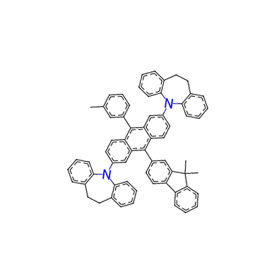 Cc1cccc(-c2c3ccc(N4c5ccccc5CCc5ccccc54)cc3c(-c3ccc4c(c3)C(C)(C)c3ccccc3-4)c3ccc(N4c5ccccc5CCc5ccccc54)cc23)c1